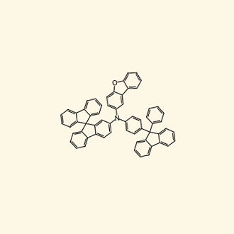 c1ccc(C2(c3ccc(N(c4ccc5c(c4)C4(c6ccccc6-c6ccccc64)c4ccccc4-5)c4ccc5oc6ccccc6c5c4)cc3)c3ccccc3-c3ccccc32)cc1